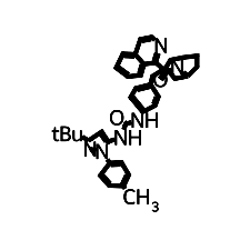 Cc1ccc(-n2nc(C(C)(C)C)cc2NC(=O)Nc2ccc(CC3CC4CCC(C3)N4C(=O)c3nccc4ccccc34)cc2)cc1